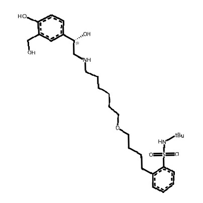 CC(C)(C)NS(=O)(=O)c1ccccc1CCCCOCCCCCCNC[C@@H](O)c1ccc(O)c(CO)c1